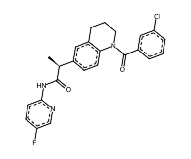 C[C@H](C(=O)Nc1ccc(F)cn1)c1ccc2c(c1)CCCN2C(=O)c1cccc(Cl)c1